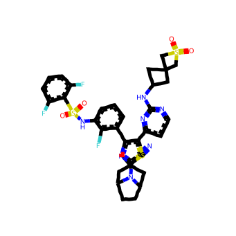 CC1(C#N)CC2CCC(C1)N2c1nc(-c2cccc(NS(=O)(=O)c3c(F)cccc3F)c2F)c(-c2ccnc(NC3CC4(C3)CS(=O)(=O)C4)n2)s1